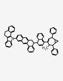 CC1C(C2=C3C=CC=CC3C(C3Cc4cc5ccc(-n6c7c(c8ccccc86)CCc6ccccc6-7)cc5cc4-c4ccccc43)C=C2)=CC(c2ccccc2)C2CC2C1c1ccccc1